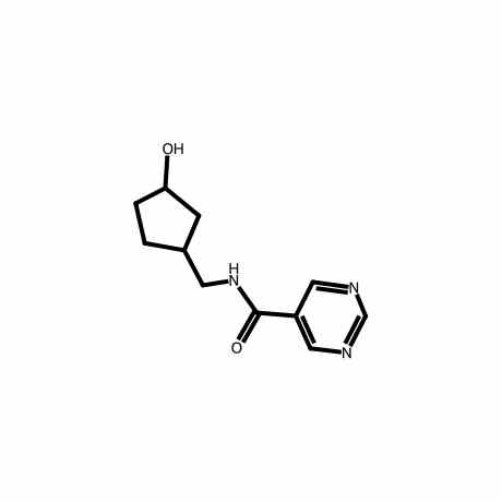 O=C(NCC1CCC(O)C1)c1cncnc1